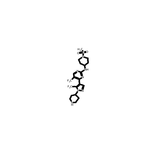 CS(=O)(=O)N1CCC(Nc2ncc(C(F)(F)F)c(-c3cnn(C4CCNCC4)c3C(F)(F)F)n2)CC1